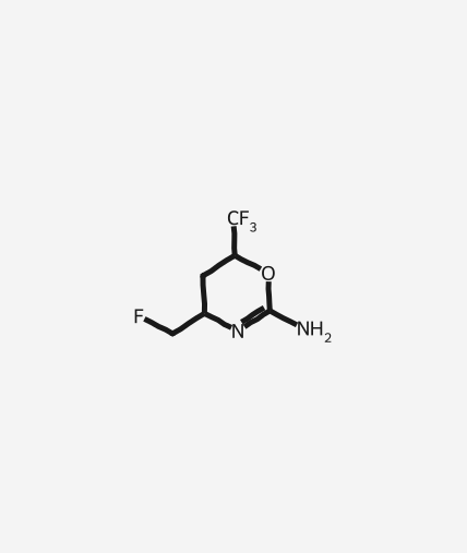 NC1=NC(CF)CC(C(F)(F)F)O1